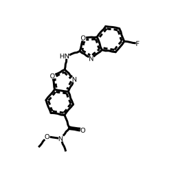 CON(C)C(=O)c1ccc2oc(Nc3nc4cc(F)ccc4o3)nc2c1